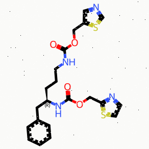 O=C(NCCC[C@H](Cc1ccccc1)NC(=O)OCc1nccs1)OCc1cncs1